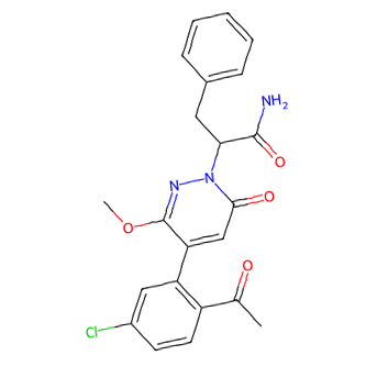 COc1nn(C(Cc2ccccc2)C(N)=O)c(=O)cc1-c1cc(Cl)ccc1C(C)=O